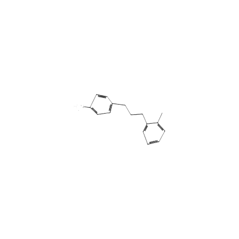 Cc1ccccc1CCCc1ccc(N)cc1